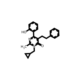 Cc1nc(-c2ccccc2O)c(CCc2ccccc2)c(=O)n1CC1CC1